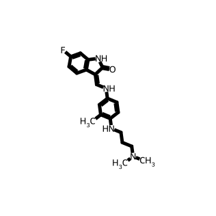 Cc1cc(N/C=C2\C(=O)Nc3cc(F)ccc32)ccc1NCCCN(C)C